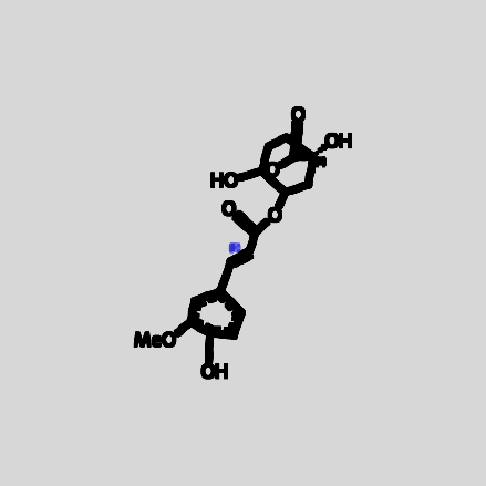 COc1cc(/C=C/C(=O)OC2C[C@]3(O)CCC2(O)OC3=O)ccc1O